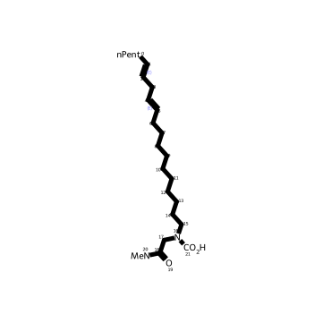 CCCCC/C=C/C/C=C/CCCCCCCCCCN(CC(=O)NC)C(=O)O